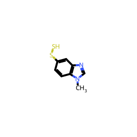 Cn1cnc2cc(SS)ccc21